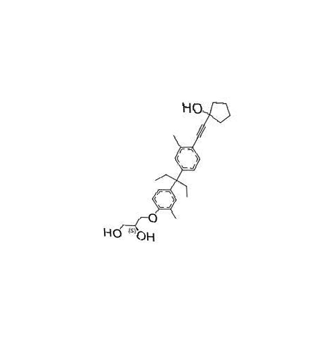 CCC(CC)(c1ccc(C#CC2(O)CCCC2)c(C)c1)c1ccc(OC[C@@H](O)CO)c(C)c1